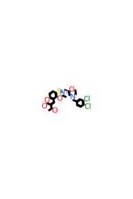 CC(=O)c1cc2cc(SN(C[C@@H]3CN(Cc4ccc(Cl)c(Cl)c4)CCO3)C(C)=O)ccc2oc1=O